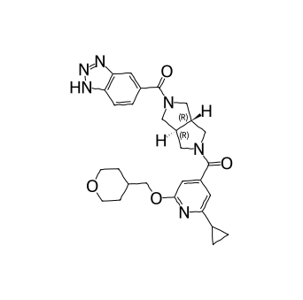 O=C(c1cc(OCC2CCOCC2)nc(C2CC2)c1)N1C[C@H]2CN(C(=O)c3ccc4[nH]nnc4c3)C[C@@H]2C1